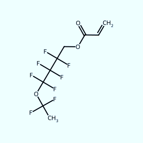 C=CC(=O)OCC(F)(F)C(F)(F)C(F)(F)OC(C)(F)F